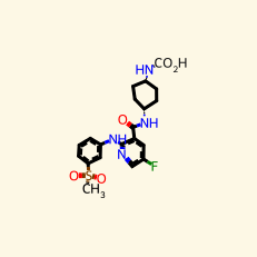 CS(=O)(=O)c1cccc(Nc2ncc(F)cc2C(=O)N[C@H]2CC[C@@H](NC(=O)O)CC2)c1